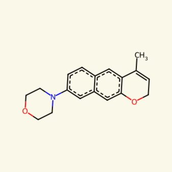 CC1=CCOc2cc3cc(N4CCOCC4)ccc3cc21